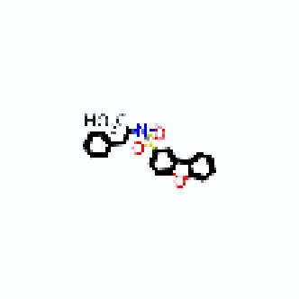 O=C(O)C(Cc1ccccc1)NS(=O)(=O)c1ccc2oc3ccccc3c2c1